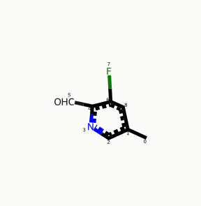 Cc1cnc(C=O)c(F)c1